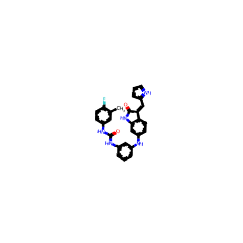 Cc1cc(NC(=O)Nc2cccc(Nc3ccc4c(c3)NC(=O)C4=Cc3ccc[nH]3)c2)ccc1F